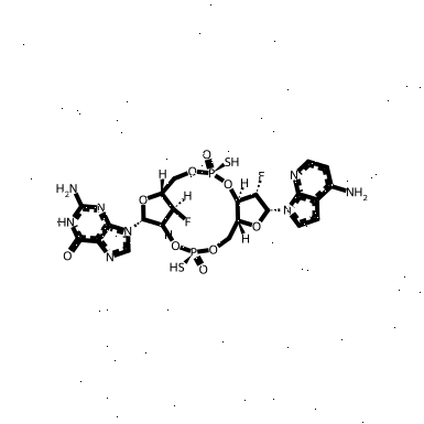 Nc1nc2c(ncn2[C@@H]2O[C@@H]3CO[P@@](=O)(S)O[C@H]4[C@H](F)[C@H](n5ccc6c(N)ccnc65)O[C@@H]4CO[P@@](=O)(S)O[C@@H]2[C@@H]3F)c(=O)[nH]1